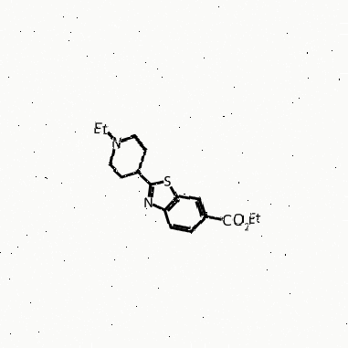 CCOC(=O)c1ccc2nc(C3CCN(CC)CC3)sc2c1